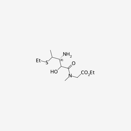 CCOC(=O)CN(C)C(=O)C(O)[C@@H](N)C(C)SCC